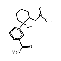 CNC(=O)c1cccc(C2(O)CCCCC2CN(C)C)c1